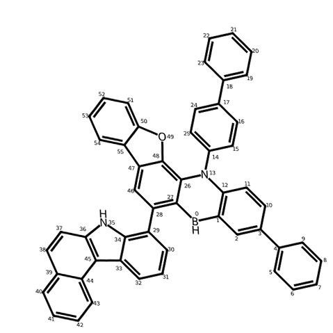 B1c2cc(-c3ccccc3)ccc2N(c2ccc(-c3ccccc3)cc2)c2c1c(-c1cccc3c1[nH]c1ccc4ccccc4c13)cc1c2oc2ccccc21